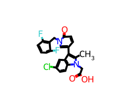 Cc1c(-c2ccc(=O)n(Cc3c(F)cccc3F)c2)c2cc(Cl)ccc2n1CC(=O)O